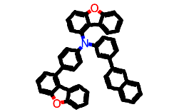 c1cc(-c2ccc3ccccc3c2)cc(N(c2ccc(-c3cccc4oc5ccccc5c34)cc2)c2cccc3oc4ccccc4c23)c1